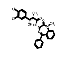 C[C@H](C(=O)N[C@H]1N=C(c2ccccc2)c2ccccc2N(C)C1=O)[C@H](O)c1ccc(Cl)c(Cl)c1